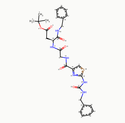 CC(C)(C)OC(=O)C[C@H](NC(=O)CNC(=O)c1csc(NC(=O)NCc2ccccc2)n1)C(=O)NCc1ccccc1